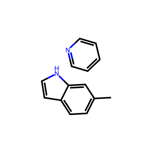 Cc1ccc2cc[nH]c2c1.c1ccncc1